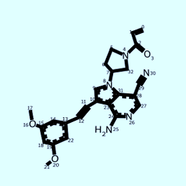 C=CC(=O)N1CCC(n2cc(C#Cc3cc(OC)cc(OC)c3)c3c(N)ncc(C#N)c32)C1